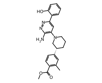 COC(=O)c1ccc([C@H]2CCCN(c3cc(-c4ccccc4O)nnc3N)C2)cc1C